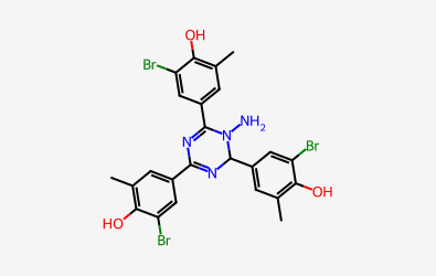 Cc1cc(C2=NC(c3cc(C)c(O)c(Br)c3)N(N)C(c3cc(C)c(O)c(Br)c3)=N2)cc(Br)c1O